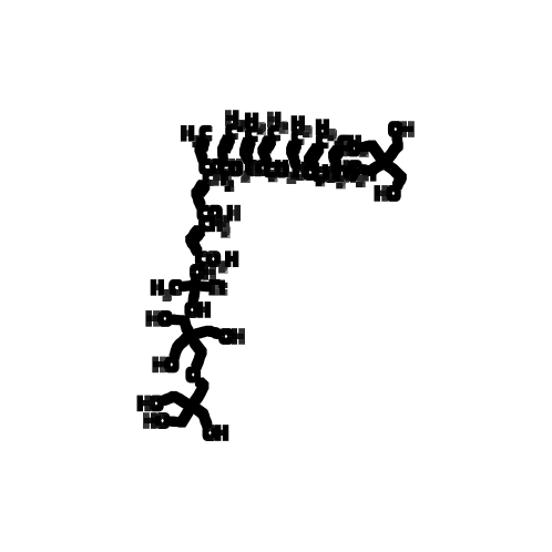 C=CC(=O)O.C=CC(=O)O.C=CC(=O)O.C=CC(=O)O.C=CC(=O)O.C=CC(=O)O.C=CC(=O)O.C=CC(=O)O.C=CC(=O)O.CCC(C)(O)O.OCC(CO)(CO)CO.OCC(CO)(CO)COCC(CO)(CO)CO